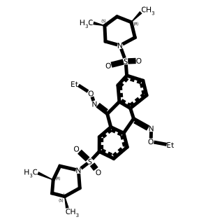 CCON=C1c2ccc(S(=O)(=O)N3C[C@H](C)C[C@H](C)C3)cc2C(=NOCC)c2cc(S(=O)(=O)N3C[C@H](C)C[C@H](C)C3)ccc21